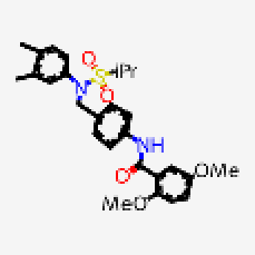 COc1ccc(OC)c(C(=O)Nc2ccc(CN(c3ccc(C)c(C)c3)S(=O)(=O)C(C)C)cc2)c1